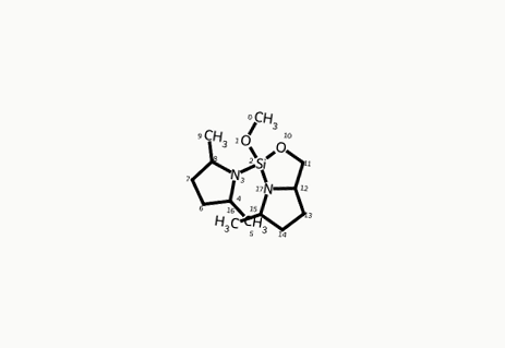 CO[Si]1(N2C(C)CCC2C)OCC2CCC(C)N21